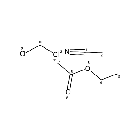 CC#N.CCOC(C)=O.ClCCl